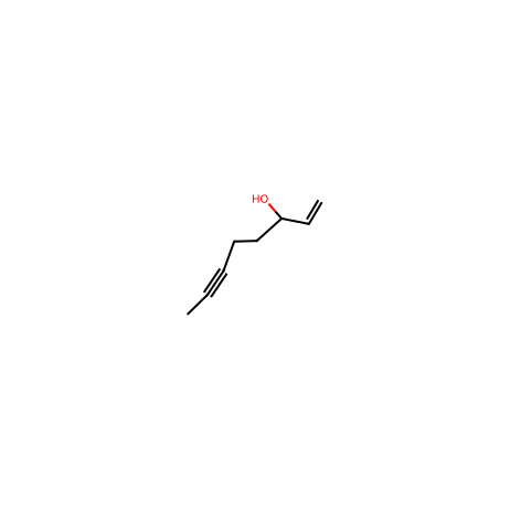 C=CC(O)CCC#CC